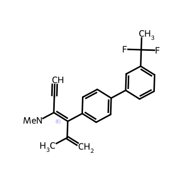 C#C/C(NC)=C(/C(=C)C)c1ccc(-c2cccc(C(C)(F)F)c2)cc1